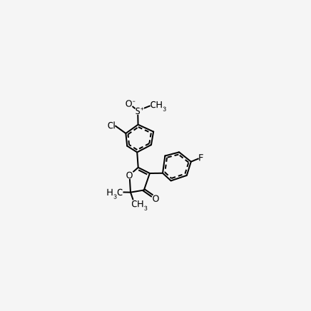 C[S+]([O-])c1ccc(C2=C(c3ccc(F)cc3)C(=O)C(C)(C)O2)cc1Cl